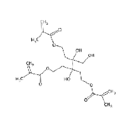 C=C(C)C(=O)OCCC(O)(CO)C(O)(CCOC(=O)C(=C)C)CCOC(=O)C(=C)C